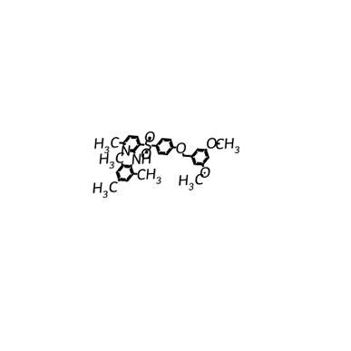 COc1cc(COc2ccc(S(=O)(=O)c3ccc(C)nc3Nc3c(C)cc(C)cc3C)cc2)cc(OC)c1